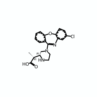 C[C@@H](C(=O)O)[C@@H]1CN(C2=Nc3cc(Cl)ccc3Oc3ccccc32)CCN1